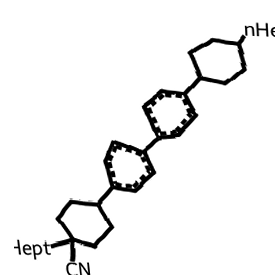 CCCCCCCC1CCC(c2ccc(-c3ccc(C4CCC(C#N)(CCCCCCC)CC4)cc3)cc2)CC1